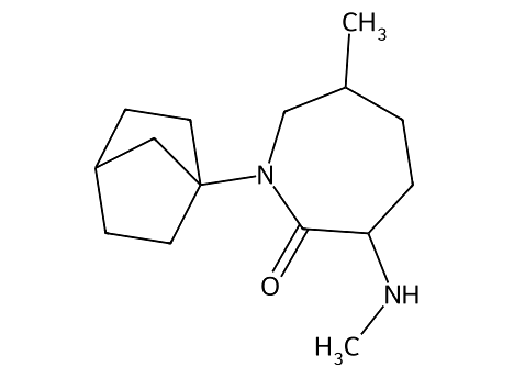 CNC1CCC(C)CN(C23CCC(CC2)C3)C1=O